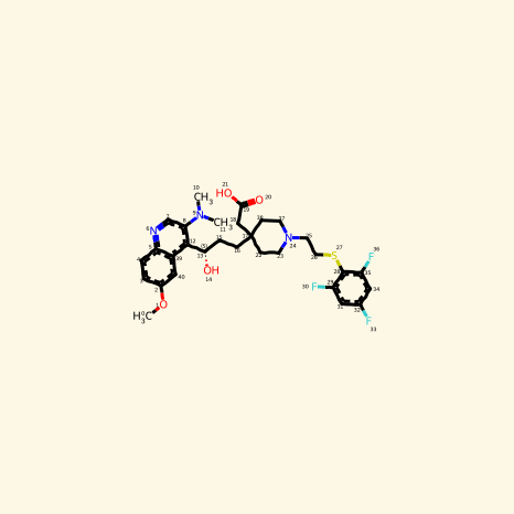 COc1ccc2ncc(N(C)C)c([C@@H](O)CCC3(CC(=O)O)CCN(CCSc4c(F)cc(F)cc4F)CC3)c2c1